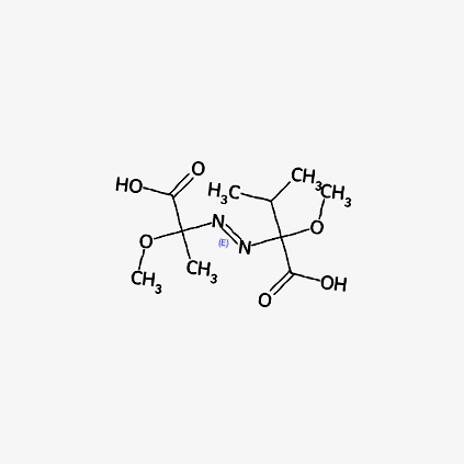 COC(C)(/N=N/C(OC)(C(=O)O)C(C)C)C(=O)O